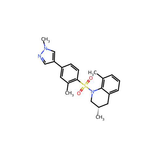 Cc1cc(-c2cnn(C)c2)ccc1S(=O)(=O)N1C[C@@H](C)Cc2cccc(C)c21